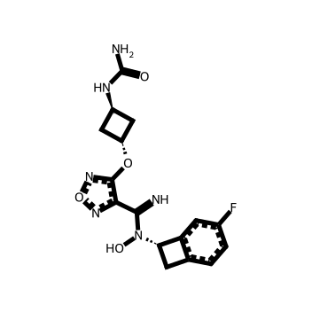 N=C(c1nonc1O[C@H]1C[C@H](NC(N)=O)C1)N(O)[C@H]1Cc2ccc(F)cc21